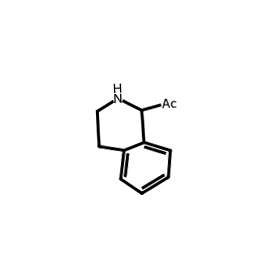 CC(=O)C1NCCc2ccccc21